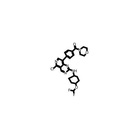 O=C(c1ccc(-c2cnc(Cl)c3cnc(NC4CCC(OC(F)F)CC4)nc23)cc1)N1CCOCC1